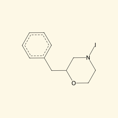 IN1CCOC(Cc2ccccc2)C1